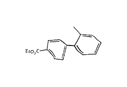 CCOC(=O)c1ccc(-c2ccccc2C)cc1